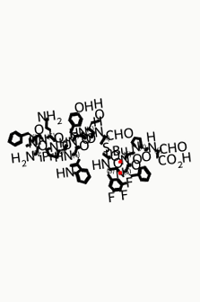 CCCC[C@@H](C(=O)N1CCC[C@@H]1C(=O)N[C@H](C=O)CC(=O)O)N(C)C(=O)[C@H](Cc1ccccc1)N(C)C(=O)[C@H](Cc1cc(F)c(F)c(F)c1)NC(=O)CSC[C@@H](C=O)NC(=O)[C@H](CCO)NC(=O)[C@H](Cc1ccc(O)cc1)NC(=O)[C@H](Cc1c[nH]c2ccccc12)NC(=O)[C@H]1CCCN1C(=O)[C@H](CCCN)NC(=O)[C@H](Cc1ccccc1)N(C)C(=O)[C@@H](N)C(C)C